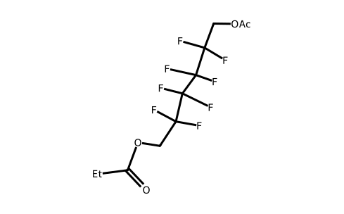 CCC(=O)OCC(F)(F)C(F)(F)C(F)(F)C(F)(F)COC(C)=O